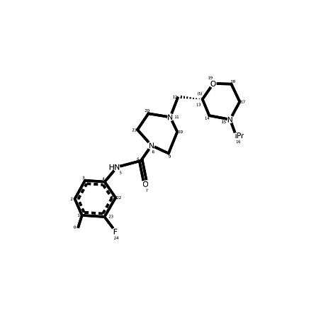 Cc1ccc(NC(=O)N2CCN(C[C@H]3CN(C(C)C)CCO3)CC2)cc1F